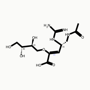 CC(=O)NC[C@H](/C=C(\OC[C@H](O)[C@H](O)CO)C(=O)O)NC(=N)N